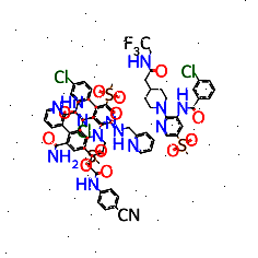 CS(=O)(=O)c1cnc(N2CCC(CC(=O)NCC(F)(F)F)CC2)c(NC(=O)c2cccc(Cl)c2)c1.CS(=O)(=O)c1cnc(N2CCC(CC(=O)Nc3ccc(C#N)cc3)CC2)c(N(C(=O)c2cccc(Cl)c2)c2cc(S(C)(=O)=O)cc(C(N)=O)c2-c2cccnc2C2NCCC(CC(=O)NCc3ccccn3)C2Cl)c1